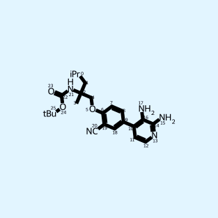 CC(C)CC(C)(COc1ccc(-c2ccnc(N)c2N)cc1C#N)NC(=O)OC(C)(C)C